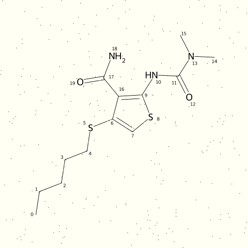 CCCCCSc1csc(NC(=O)N(C)C)c1C(N)=O